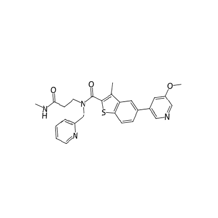 CNC(=O)CCN(Cc1ccccn1)C(=O)c1sc2ccc(-c3cncc(OC)c3)cc2c1C